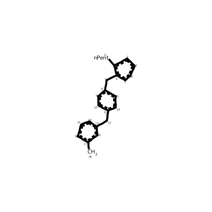 CCCCCc1ccccc1Cc1ccc(Cc2cccc(C)c2)cc1